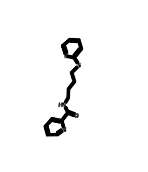 O=C(NCCCCSc1ccccn1)c1ccccn1